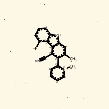 Cc1cc2oc3cccc(F)c3c2c(C#N)c1-c1cccc[n+]1C